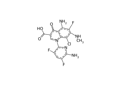 CNc1c(F)c(N)c2c(=O)c(C(=O)O)cn(-c3nc(N)c(F)cc3F)c2c1Cl